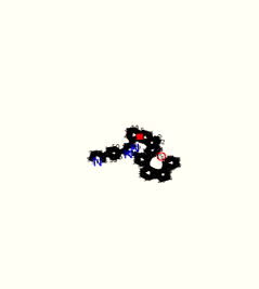 CC1(C)c2ccccc2-c2cc3c(cc21)Oc1ccccc1-c1ccccc1-c1ccccc1-c1ccc(-c2nc(-c4ccccc4)cc(-c4ccc(-c5cccnc5)cc4)n2)cc1-3